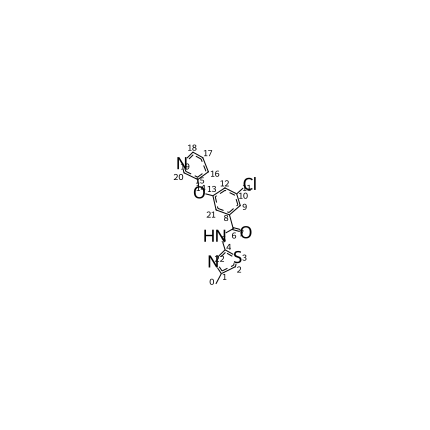 Cc1csc(NC(=O)c2cc(Cl)cc(Oc3cccnc3)c2)n1